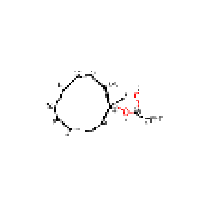 CC(C)C(=O)OC1(C)CCCCCCCCC1